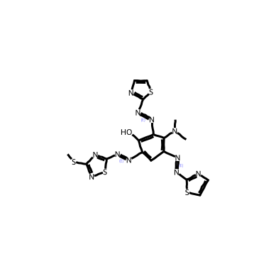 CSc1nsc(/N=N/c2cc(/N=N/c3nccs3)c(N(C)C)c(/N=N/c3nccs3)c2O)n1